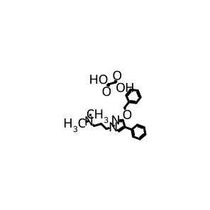 CN(C)CCCn1cc(-c2ccccc2)c(OCc2ccccc2)n1.O=C(O)C(=O)O